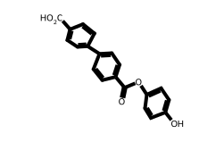 O=C(O)c1ccc(-c2ccc(C(=O)Oc3ccc(O)cc3)cc2)cc1